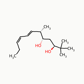 CC/C=C\C=C\[C@H](C)[C@@H](O)C[C@H](O)C(C)(C)C